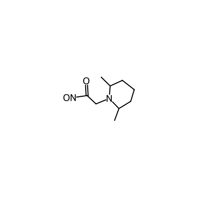 CC1CCCC(C)N1CC(=O)N=O